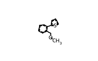 COCc1ccccc1-c1cccs1